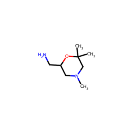 CN1CC(CN)OC(C)(C)C1